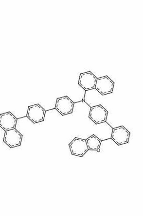 c1ccc(-c2cc3ccccc3o2)c(-c2ccc(N(c3ccc(-c4ccc(-c5cccc6ccccc56)cc4)cc3)c3cccc4ccccc34)cc2)c1